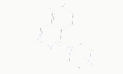 Clc1nnc(N2CCNCC2)c2ccccc12